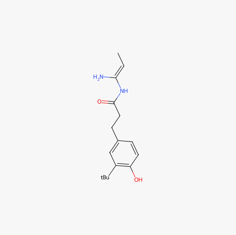 CC=C(N)NC(=O)CCc1ccc(O)c(C(C)(C)C)c1